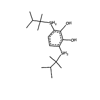 CC(C)C(C)(C)[SiH2]c1ccc([SiH2]C(C)(C)C(C)C)c(O)c1O